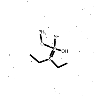 CCS(CC)=P(O)(S)OP